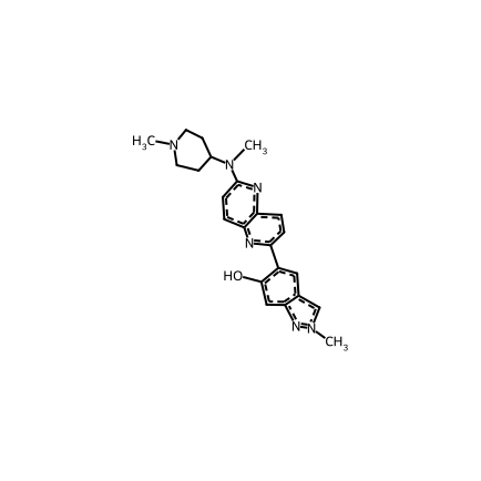 CN1CCC(N(C)c2ccc3nc(-c4cc5cn(C)nc5cc4O)ccc3n2)CC1